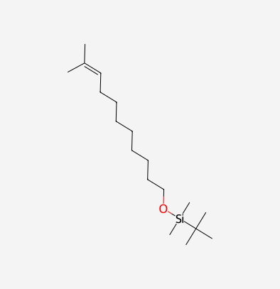 CC(C)=CCCCCCCCCO[Si](C)(C)C(C)(C)C